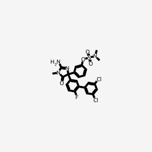 CN1C(=O)C(c2cccc(OS(=O)(=O)N(C)C)c2)(c2ccc(F)c(-c3cc(Cl)cc(Cl)c3)c2)N=C1N